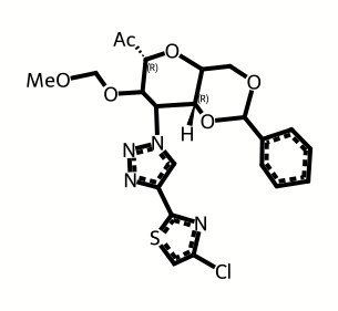 COCOC1C(n2cc(-c3nc(Cl)cs3)nn2)[C@H]2OC(c3ccccc3)OCC2O[C@H]1C(C)=O